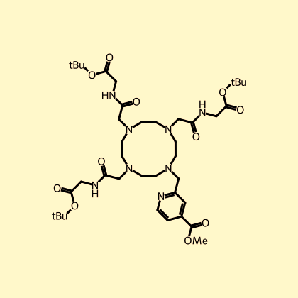 COC(=O)c1ccnc(CN2CCN(CC(=O)NCC(=O)OC(C)(C)C)CCN(CC(=O)NCC(=O)OC(C)(C)C)CCN(CC(=O)NCC(=O)OC(C)(C)C)CC2)c1